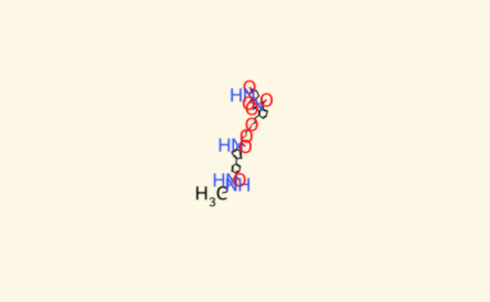 CCCNNC(=O)c1ccc(-c2ccc(NC(=O)COCCOCCc3cccc4c3C(=O)N(C3CCC(=O)NC3=O)C4=O)cc2)cc1